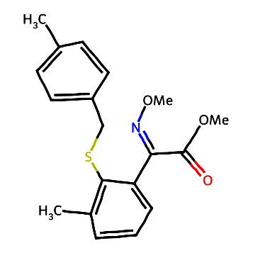 CON=C(C(=O)OC)c1cccc(C)c1SCc1ccc(C)cc1